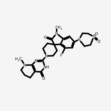 CN1CCCc2c1nc(N1CCC3(CC1)C(=O)N(C)c1cc(N4CCS(=O)(=O)CC4)cc(F)c13)[nH]c2=O